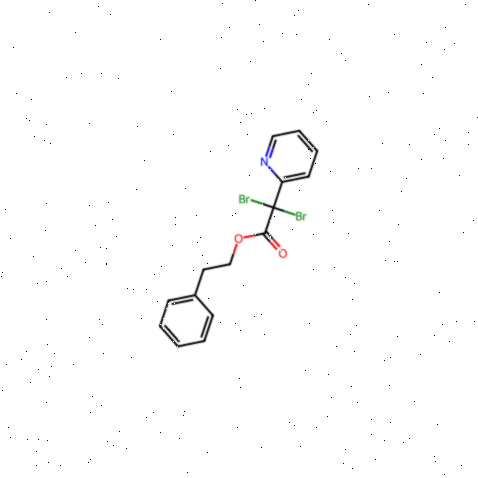 O=C(OCCc1ccccc1)C(Br)(Br)c1ccccn1